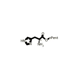 CCCCCOC(=O)[C@@H](N)Cc1c[nH]cn1